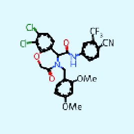 COc1ccc(CN2C(=O)COc3c(ccc(Cl)c3Cl)C2C(=O)Nc2ccc(C#N)c(C(F)(F)F)c2)c(OC)c1